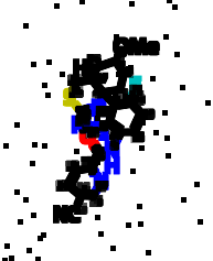 CO[C@H]1CC[C@]2(c3cc(NC(=O)c4ccc(C#N)cn4)ccc3F)N=C(N)SC[C@@H]2C1